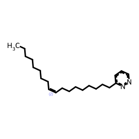 CCCCCCCC/C=C\CCCCCCCCc1cccnn1